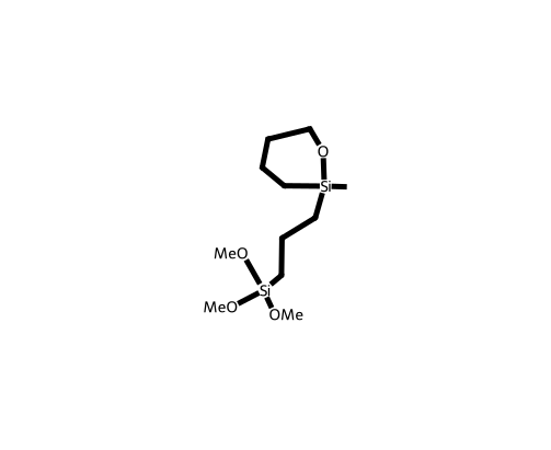 CO[Si](CCC[Si]1(C)CCCCO1)(OC)OC